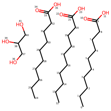 CCCCCCCCCC(=O)O.CCCCCCCCCC(=O)O.CCCCCCCCCC(=O)O.OCC(O)CO